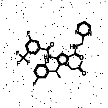 CC(=O)Cn1c(C(=O)NCc2ncccn2)cc(NC(=O)c2cc(F)cc(C(F)(F)F)c2)c1[C@@H](C)c1cc(F)ccc1Cl